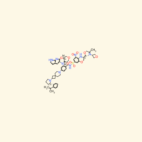 C=C(C)c1ccccc1[C@@H]1CCCN1C1CC2(CCN(c3ccc(C(=O)NS(=O)(=O)c4cc5c(c([N+](=O)[O-])c4)N[C@@H]([C@H]4CN(C6COC6)[C@H](C)CO4)CO5)c(N4c5cc6cc[nH]c6nc5O[C@@H]5COCC[C@@H]54)c3)CC2)C1